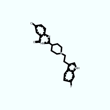 O=c1[nH]c(C2CCN(CCc3c[nH]c4cc(F)ccc34)CC2)nc2ccc(Cl)cc12